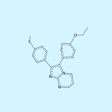 CCOc1ccc(-c2c(-c3ccc(SC)cc3)nc3ncccn23)cc1